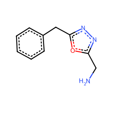 NCc1nnc(Cc2ccccc2)o1